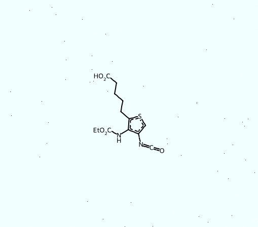 CCOC(=O)Nc1c(N=C=O)csc1CCCCC(=O)O